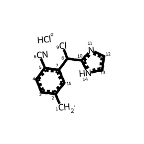 Cl.[CH2]c1ccc(C#N)c(C(Cl)c2ncc[nH]2)c1